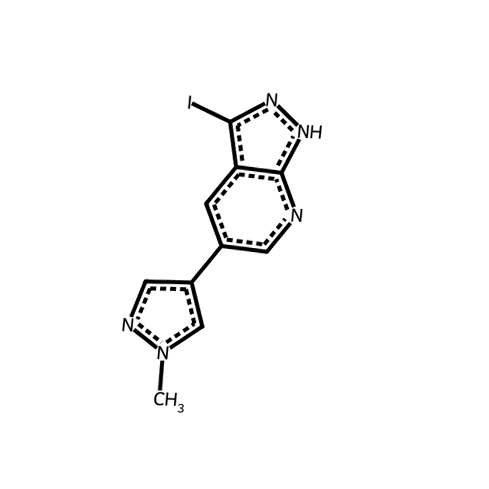 Cn1cc(-c2cnc3[nH]nc(I)c3c2)cn1